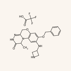 CC1C(=O)NN=C2COc3cc(OCc4ccccc4)c(NC4CNC4)cc3N21.O=C(O)C(F)(F)F